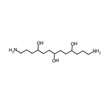 NCCCC(O)CCC(O)CCC(O)CCCN